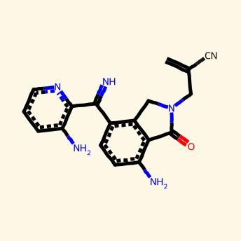 C=C(C#N)CN1Cc2c(C(=N)c3ncccc3N)ccc(N)c2C1=O